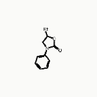 CCC1CN(c2ccccc2)C(=O)O1